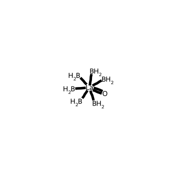 [BH2][La]([BH2])([BH2])([BH2])([BH2])([BH2])=[O]